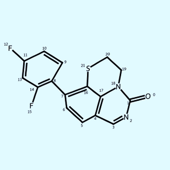 O=c1ncc2ccc(-c3ccc(F)cc3F)c3c2n1CCS3